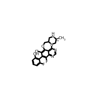 C[C@H]1CN2c3ncnc4c(F)c(-c5c(O)cccc5F)c(Cl)c(c34)OCC2CN1